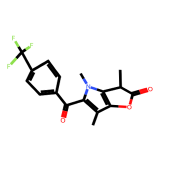 Cc1c2c(n(C)c1C(=O)c1ccc(C(F)(F)F)cc1)C(C)C(=O)O2